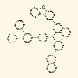 c1ccc(-c2ccc(-c3ccc(N(c4cccc(-c5ccc6oc7ccccc7c6c5)c4)c4cc(-c5ccc6ccccc6c5)ccc4-c4ccccc4)cc3)cc2-c2ccccc2)cc1